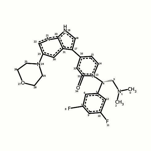 CN(C)C[C@H](c1cc(F)cc(F)c1)n1ccc(-c2c[nH]c3ncc(N4CCOCC4)cc23)cc1=O